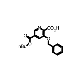 CCCCOC(=O)c1cnc(C(=O)O)c(OCc2ccccc2)c1